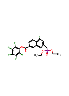 CCOP(=O)(Cc1cc(F)c2ccc(C(=O)Oc3c(F)c(F)c(F)c(F)c3F)cc2c1)OCC